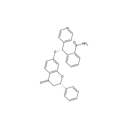 NC(=O)c1ccccc1[C@H](Oc1ccc2c(c1)O[C@H](c1ccccc1)CC2=O)c1ccncc1